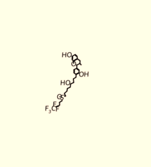 CC1Cc2ccc(O)cc2OC1c1ccc(CCCC(O)CCCCC[S+]([O-])CCCC(F)(F)C(F)(F)F)c(O)c1